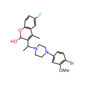 COc1cc(N2CCN(C(C)C3=C(C)c4cc(F)ccc4OC3O)CC2)ccc1Br